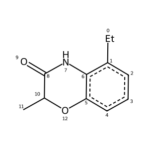 CCc1cccc2c1NC(=O)C(C)O2